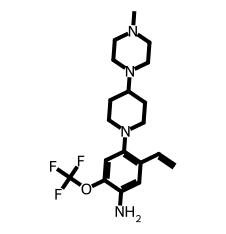 C=Cc1cc(N)c(OC(F)(F)F)cc1N1CCC(N2CCN(C)CC2)CC1